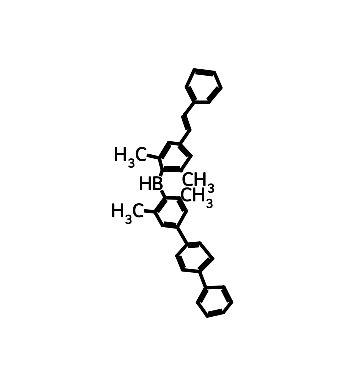 Cc1cc(C=Cc2ccccc2)cc(C)c1Bc1c(C)cc(-c2ccc(-c3ccccc3)cc2)cc1C